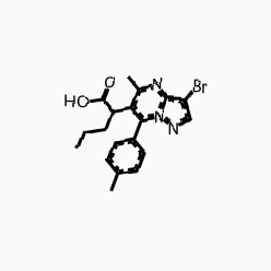 CCCC(C(=O)O)c1c(C)nc2c(Br)cnn2c1-c1ccc(C)cc1